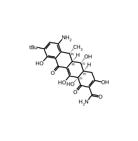 C[C@H]1c2c(N)cc(C(C)(C)C)c(O)c2C(=O)C2=C(O)[C@]3(O)C(=O)C(C(N)=O)=C(O)C[C@@H]3[C@@H](O)[C@@H]21